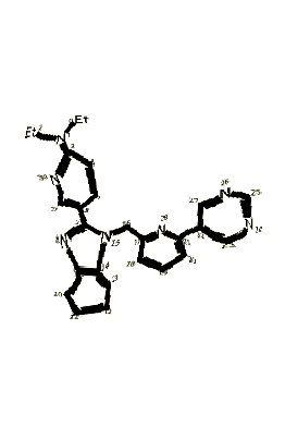 CCN(CC)c1ccc(-c2nc3ccccc3n2Cc2cccc(-c3cncnc3)n2)cn1